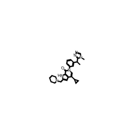 CC(c1cccc(-n2cc(C3CC3)c3cc(CN4CCCCC4)[nH]c3c2=O)c1)c1nncn1C